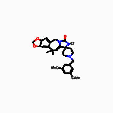 CCN1C(=O)N2CC3=CC4OCOC4C=C3C(C)(C)C=C2C12CCN(Cc1cc(OC)cc(OC)c1)CC2